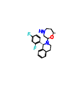 Fc1ccc([C@H]2c3ccccc3CCN2[C@H]2CNCC[CH]O2)c(F)c1